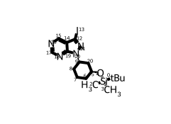 CC(C)(C)[Si](C)(C)O[C@H]1CCC[C@H](n2nc(I)c3cncnc32)C1